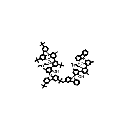 CCOCCOc1c(-c2cc(C)cc(-n3c4ccc(C(C)(C)C)cc4c4cc(C(C)(C)C)ccc43)c2O)cc(C(C)(C)C)cc1-c1cc(C)cc(-n2c3ccc(C(C)(C)C)cc3c3cc(C(C)(C)Cc4ccc5c(c4)c4ccccc4n5-c4cc(C)cc(-c5cc(C)cc(-c6cc(C)cc(-n7c8ccccc8c8ccccc87)c6O)c5OCCN(C)C)c4O)ccc32)c1O